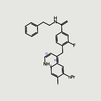 C=C(NCCc1ccccc1)c1ccc(CC(/C=C\N)=C2\C=C(CCC)C(C)=CC2)c(F)c1